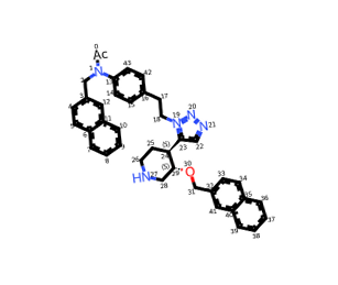 CC(=O)N(Cc1ccc2ccccc2c1)c1ccc(CCn2nncc2[C@@H]2CCNC[C@H]2OCc2ccc3ccccc3c2)cc1